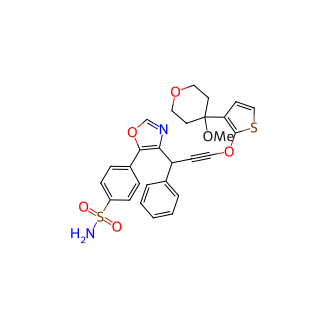 COC1(c2ccsc2OC#CC(c2ccccc2)c2ncoc2-c2ccc(S(N)(=O)=O)cc2)CCOCC1